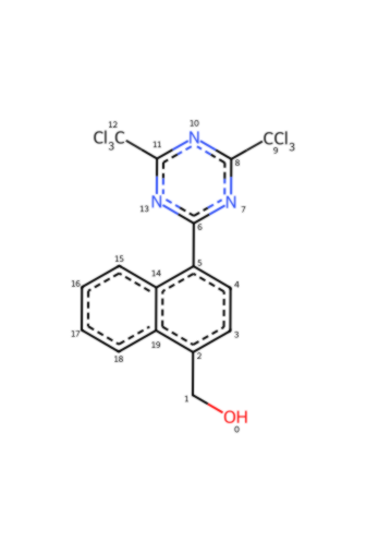 OCc1ccc(-c2nc(C(Cl)(Cl)Cl)nc(C(Cl)(Cl)Cl)n2)c2ccccc12